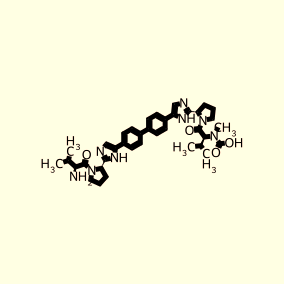 CC(C)[C@H](N)C(=O)N1CCC[C@H]1c1ncc(-c2ccc(-c3ccc(-c4cnc([C@@H]5CCCN5C(=O)[C@H](C(C)C)N(C)C(=O)O)[nH]4)cc3)cc2)[nH]1